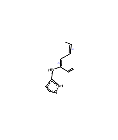 C=C/C(=C\C=C/C)Nc1ccn[nH]1